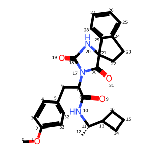 COc1ccc(CC(C(=O)N[C@@H](C)C2CCC2)N2C(=O)NC3(CCc4ccccc43)C2=O)cc1